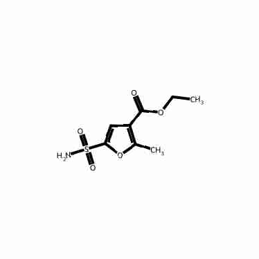 CCOC(=O)c1cc(S(N)(=O)=O)oc1C